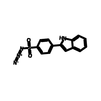 [N-]=[N+]=NS(=O)(=O)c1ccc(-c2cc3ccccc3[nH]2)cc1